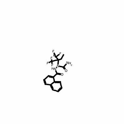 CCC(N(NC(=O)c1cccc2ccccc12)C(N)=O)(C(F)(F)F)C(F)(F)F